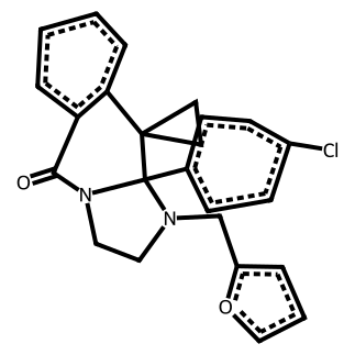 O=C1c2ccccc2C2(CC2)C2(c3ccc(Cl)cc3)N(Cc3ccco3)CCN12